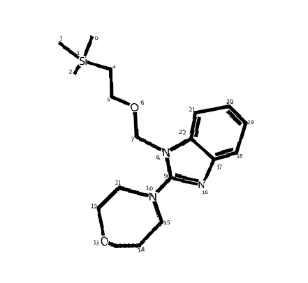 C[Si](C)(C)CCOCn1c(N2CCOCC2)nc2ccccc21